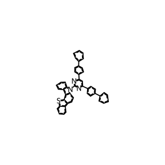 c1ccc(-c2ccc(-c3cc(-c4ccc(-c5ccccc5)cc4)nc(-n4c5ccccc5c5c6sc7ccccc7c6ccc54)n3)cc2)cc1